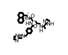 CC(NCCC[C@H](NC(=O)c1ccc(CNCc2ncc[nH]2)cc1)C(=O)N[C@@H](C)c1cccc2ccccc12)c1ncc[nH]1